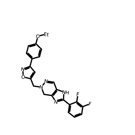 CCOc1ccc(-c2cc(CN3Cc4nc(-c5cccc(F)c5F)[nH]c4C=N3)on2)cc1